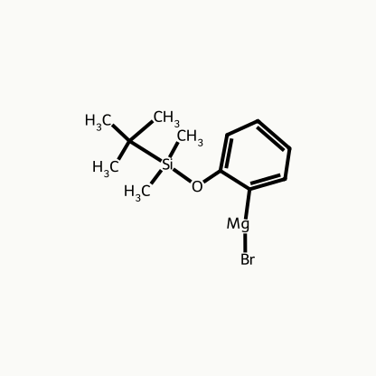 CC(C)(C)[Si](C)(C)Oc1cccc[c]1[Mg][Br]